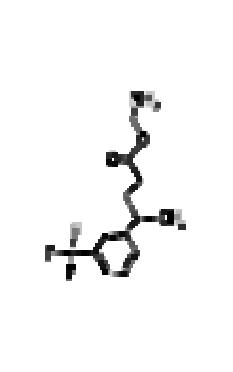 CC(CCC(=O)OCN)c1cccc(C(F)(F)F)c1